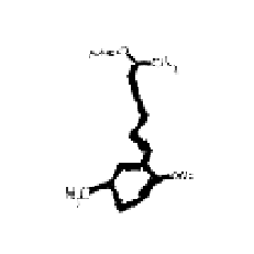 COC1=CCC(C)C=C1/C=C/CC[C@H](C)OC